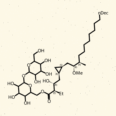 CCCCCCCCCCCCCCCCCC[C@@H](C)[C@@H](C[C@@H]1C[C@@H]1C[C@@H](O)[C@@H](CC)C(=O)OCC1OC(OC2OC(CO)C(O)C(O)C2O)C(O)C(O)C1O)OC